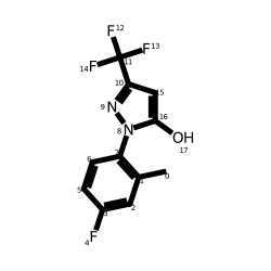 Cc1cc(F)ccc1-n1nc(C(F)(F)F)cc1O